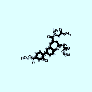 CCCN(CC(N)=O)C(=O)C1=Cc2cc(-c3ccc(NC(=O)O)cc3Cl)ccc2N=C(NC(=O)OC(C)(C)C)C1